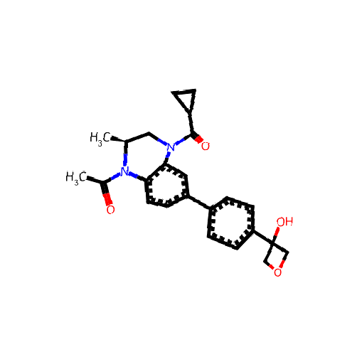 CC(=O)N1c2ccc(-c3ccc(C4(O)COC4)cc3)cc2N(C(=O)C2CC2)C[C@@H]1C